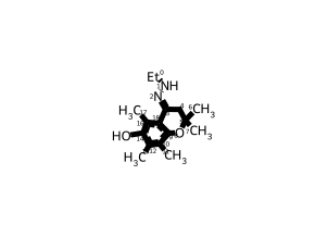 CCNN=C1CC(C)(C)Oc2c(C)c(C)c(O)c(C)c21